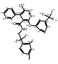 Cc1ccc(C(F)(F)CNC(=O)c2c(Oc3cccc(C(F)(F)F)c3)nnc(Cl)c2-c2cccnc2)c(C)c1